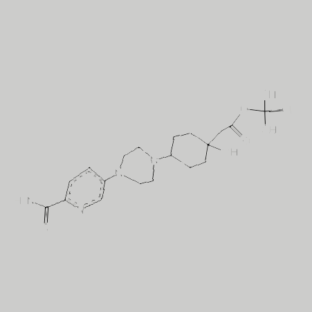 CC(C)(C)OC(=O)CC1(O)CCC(N2CCN(c3ccc(C(N)=S)nc3)CC2)CC1